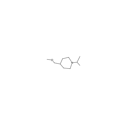 COCC1CCN(C(C)C)CC1